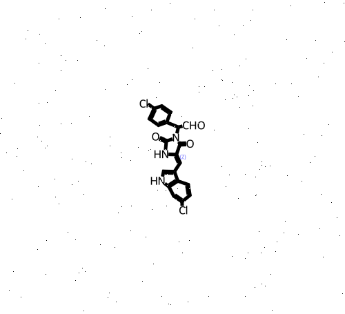 O=CC(c1ccc(Cl)cc1)N1C(=O)N/C(=C\c2c[nH]c3cc(Cl)ccc23)C1=O